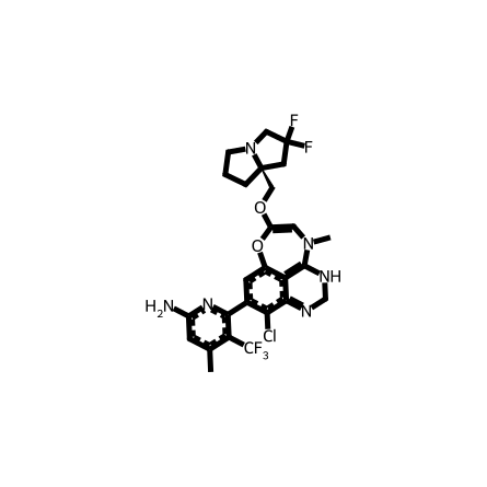 Cc1cc(N)nc(-c2cc3c4c(c2Cl)=NCNC=4N(C)C=C(OC[C@@]24CCCN2CC(F)(F)C4)O3)c1C(F)(F)F